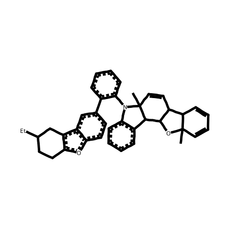 CCC1CCc2oc3ccc(-c4ccccc4N4c5ccccc5C5C6OC7(C)C=CC=CC7C6C=CC54C)cc3c2C1